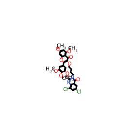 COc1cc(OC)c2c(=O)c(OCCCCn3cnc4c(Cl)cc(Cl)cc4c3=O)c(-c3cc(OC)c(OC)c(OC)c3)oc2c1